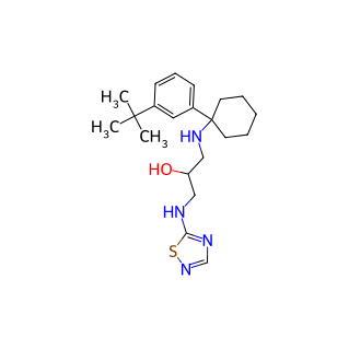 CC(C)(C)c1cccc(C2(NCC(O)CNc3ncns3)CCCCC2)c1